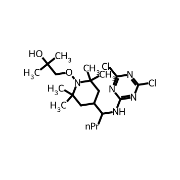 CCCC(Nc1nc(Cl)nc(Cl)n1)C1CC(C)(C)N(OCC(C)(C)O)C(C)(C)C1